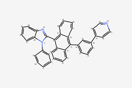 c1ccc(-n2c(-c3c4ccccc4c(-c4cccc(-c5ccncc5)c4)c4ccccc34)nc3ccccc32)cc1